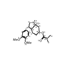 COc1ccc([C@@]23CC[C@@H](OC(=O)N(C)C)C[C@@H]2N(C)CC3)cc1OC